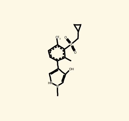 Cc1c(C2=CNN(C)C=C2O)ccc(C(F)(F)F)c1S(=O)(=O)CC1CC1